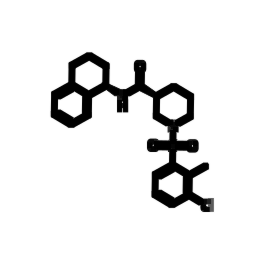 Cc1c(Cl)cccc1S(=O)(=O)N1CCC[C@H](C(=O)N[C@@H]2CCCc3ccccc32)C1